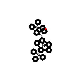 c1ccc(-c2cc([Si](c3ccccc3)(c3ccccc3)c3ccccc3)cc(-c3ccccc3)c2-n2c3ccccc3c3cc(-n4c5ccccc5c5c([Si](c6ccccc6)(c6ccccc6)c6ccccc6)cccc54)ccc32)cc1